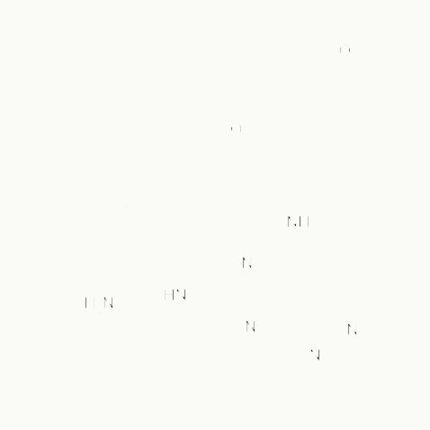 COc1ccc(CNc2nc(NCC(N)c3ccccc3)nc3c2cnn3C)c(OC)c1